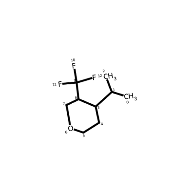 CC(C)C1CCOCC1C(F)(F)F